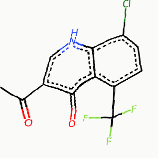 CC(=O)c1c[nH]c2c(Cl)ccc(C(F)(F)F)c2c1=O